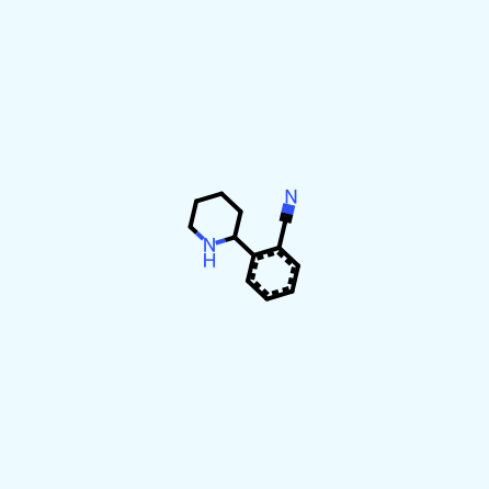 N#Cc1ccccc1C1CCCCN1